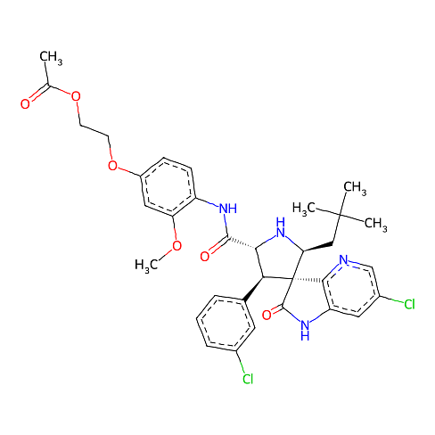 COc1cc(OCCOC(C)=O)ccc1NC(=O)[C@@H]1N[C@@H](CC(C)(C)C)[C@@]2(C(=O)Nc3cc(Cl)cnc32)[C@H]1c1cccc(Cl)c1